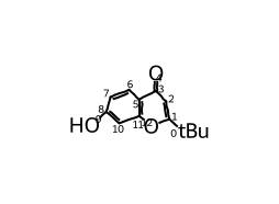 CC(C)(C)c1cc(=O)c2ccc(O)cc2o1